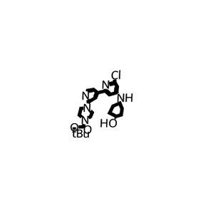 CC(C)(C)OC(=O)N1CCN(c2cc(-c3cc(N[C@H]4CC[C@H](O)CC4)cc(Cl)n3)ccn2)CC1